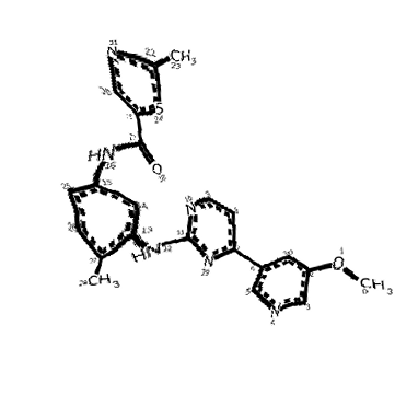 COc1cncc(-c2ccnc(Nc3cc(NC(=O)c4cnc(C)s4)ccc3C)n2)c1